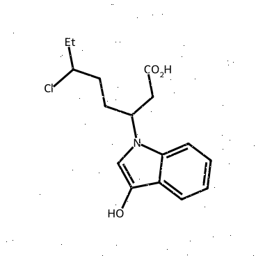 CCC(Cl)CCC(CC(=O)O)n1cc(O)c2ccccc21